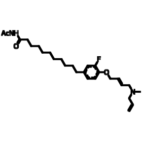 C=CCN(C)CC=CCOc1ccc(CCCCCCCCCCC(=O)NC(C)=O)cc1F